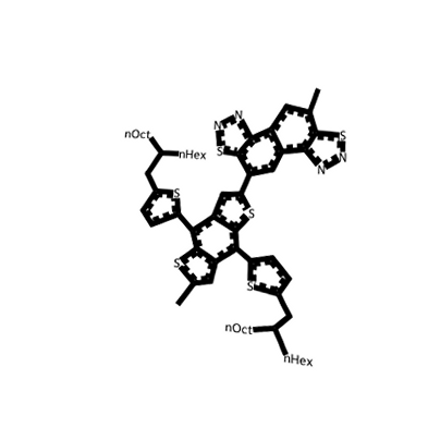 CCCCCCCCC(CCCCCC)Cc1ccc(-c2c3cc(-c4cc5c(cc(C)c6snnc65)c5nnsc45)sc3c(-c3ccc(CC(CCCCCC)CCCCCCCC)s3)c3cc(C)sc23)s1